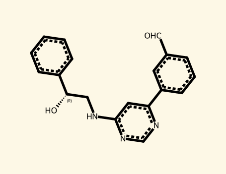 O=Cc1cccc(-c2cc(NC[C@H](O)c3ccccc3)ncn2)c1